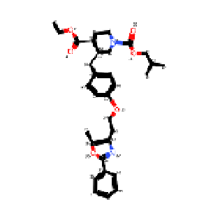 CCOC(=O)[C@H]1CCN(C(=O)OCC(C)C)C[C@H]1Cc1ccc(OCCc2nc(-c3ccccc3)oc2C)cc1